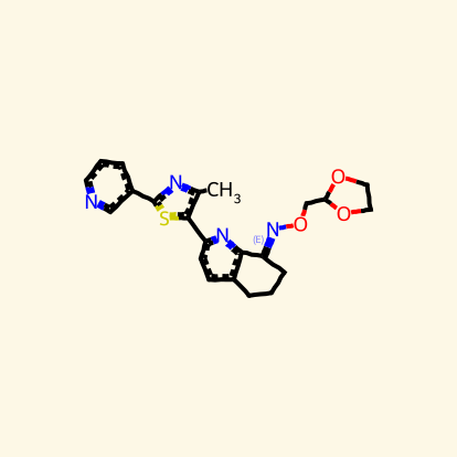 Cc1nc(-c2cccnc2)sc1-c1ccc2c(n1)/C(=N/OCC1OCCO1)CCC2